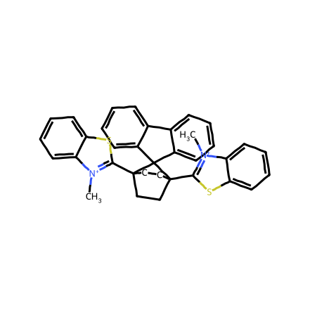 C[n+]1c(C23CCC(c4sc5ccccc5[n+]4C)(CC2)C32c3ccccc3-c3ccccc32)sc2ccccc21